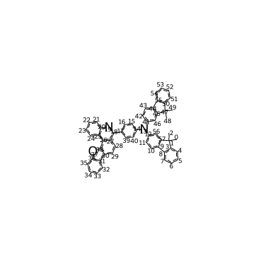 CC1(C)c2ccccc2-c2ccc(N(c3ccc(-c4nc5ccccc5c5c4ccc4c6ccccc6oc45)cc3)c3ccc4c(c3)C(C)(C)c3ccccc3-4)cc21